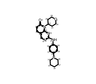 O=c1ccc2cnc(Nc3ccc(N4CCCCC4)cc3)nc2n1C1CCOCC1